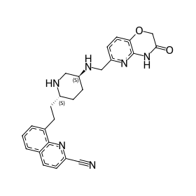 N#Cc1ccc2cccc(CC[C@H]3CC[C@H](NCc4ccc5c(n4)NC(=O)CO5)CN3)c2n1